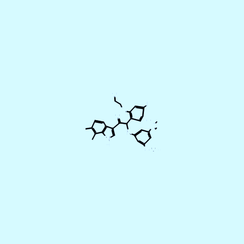 COc1cc(NC(C(=O)c2c[nH]c3c(C)c(F)ccc23)c2ccc(F)cc2OCCO)cc(S(C)(=O)=O)c1